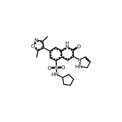 Cc1noc(C)c1-c1cc(S(=O)(=O)NC2CCCC2)c2cc(N3C=CCN3)c(=O)[nH]c2c1